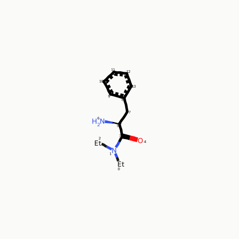 CCN(CC)C(=O)[C@@H](N)Cc1ccccc1